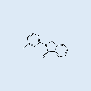 O=C1c2ccccc2CN1c1cccc(I)c1